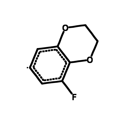 Fc1c[c]cc2c1OCCO2